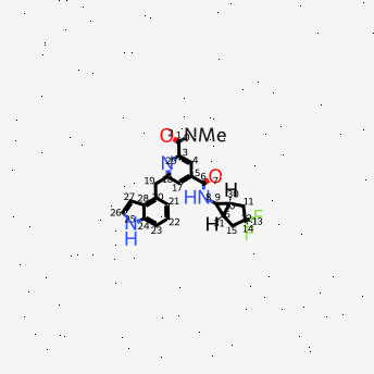 CNC(=O)c1cc(C(=O)NC2[C@H]3CC(F)(F)C[C@@H]23)cc(Cc2cccc3[nH]ccc23)n1